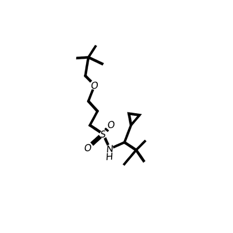 CC(C)(C)COCCCS(=O)(=O)NC(C1CC1)C(C)(C)C